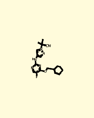 CC(C)(C#N)n1cc(Nc2ncc(F)c(OCC3CCCCC3)n2)cn1